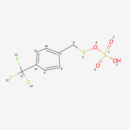 O=S(=O)(O)OSCc1ccc(C(F)(F)F)cc1